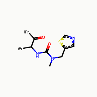 CC(C)C(=O)C(NC(=O)N(C)Cc1cncs1)C(C)C